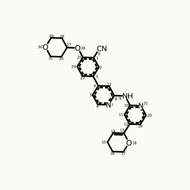 N#Cc1cc(-c2ccnc(Nc3cc(C4=CCCCO4)ccn3)c2)ccc1OC1CCOCC1